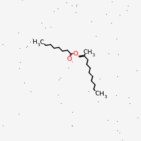 CCCCCCCCCC(C)=COC(=O)CCCCCCC